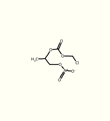 CC(CO[N+](=O)[O-])OC(=O)OCCl